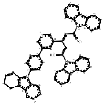 C=C(/C=C(\C=C(/C)n1c2ccccc2c2ccccc21)c1cncc(-c2ccc(-n3c4c(c5cnccc53)CCC=C4)cc2)c1)n1c2ccccc2c2ccccc21